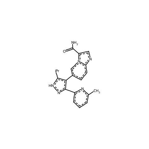 Cc1cccc(-c2n[nH]c(C(C)C)c2-c2ccc3ncc(C(N)=O)n3c2)n1